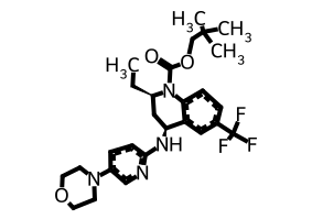 CC[C@@H]1C[C@H](Nc2ccc(N3CCOCC3)cn2)c2cc(C(F)(F)F)ccc2N1C(=O)OCC(C)(C)C